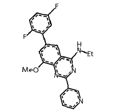 CCNc1nc(-c2cccnc2)nc2c(OC)cc(-c3cc(F)ccc3F)cc12